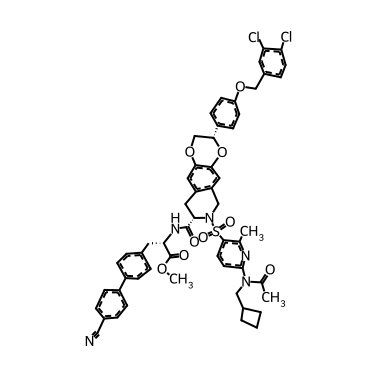 COC(=O)[C@H](Cc1ccc(-c2ccc(C#N)cc2)cc1)NC(=O)[C@@H]1Cc2cc3c(cc2CN1S(=O)(=O)c1ccc(N(CC2CCC2)C(C)=O)nc1C)O[C@@H](c1ccc(OCc2ccc(Cl)c(Cl)c2)cc1)CO3